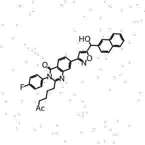 CC(=O)CCCCc1nc2cc(-c3cc(C(O)c4ccc5ccccc5c4)on3)ccc2c(=O)n1-c1ccc(F)cc1